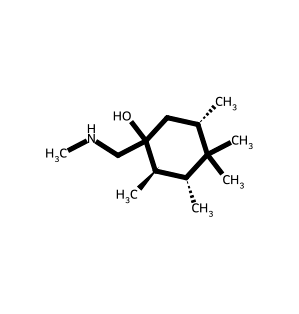 CNCC1(O)C[C@H](C)C(C)(C)[C@H](C)[C@H]1C